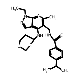 CCn1ncc2c(NC3CCOCC3)c(CNC(=O)c3ccc(C(C)C)cc3)c(C)nc21